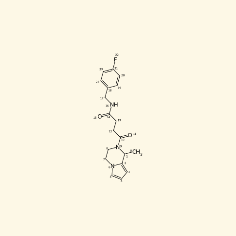 CC1c2cccn2CCN1C(=O)CCC(=O)NCc1ccc(F)cc1